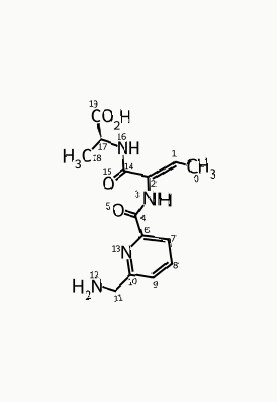 C/C=C(\NC(=O)c1cccc(CN)n1)C(=O)N[C@@H](C)C(=O)O